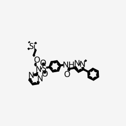 Cn1nc(C(=O)Nc2ccc(S(=O)(=O)N(COCC[Si](C)(C)C)c3ncccn3)cc2)cc1-c1ccccc1